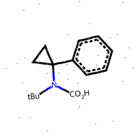 CC(C)(C)N(C(=O)O)C1(c2ccccc2)CC1